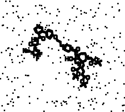 CC(C)(C)OC(=O)CCCC[C@@]1(N(CC(=O)O)CC(=O)OC(C)(C)C)CN(CC(=O)OC(C)(C)C)CCN(CC(=O)N2CCN(CCCOc3ccc(-c4cnccc4C(=O)NCC(=O)N4CC(F)(F)C[C@H]4C#N)cc3)CC2)C1